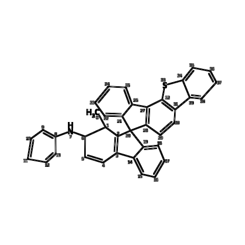 CC1C2=C(C=CC1Nc1ccccc1)c1ccccc1C21c2ccccc2-c2c1ccc1c2sc2ccccc21